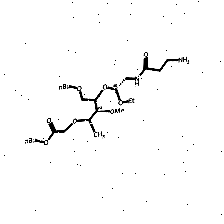 CCCCOCC(O[C@H](CNC(=O)CCN)OCC)[C@@H](OC)C(C)OCC(=O)OCCCC